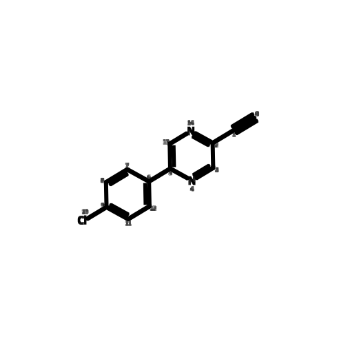 C#Cc1cnc(-c2ccc(Cl)cc2)cn1